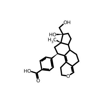 C[C@]12C[C@H](c3ccc(C(=O)O)cc3)C3=C4CCOC=C4CCC3C1CC[C@@]2(O)CO